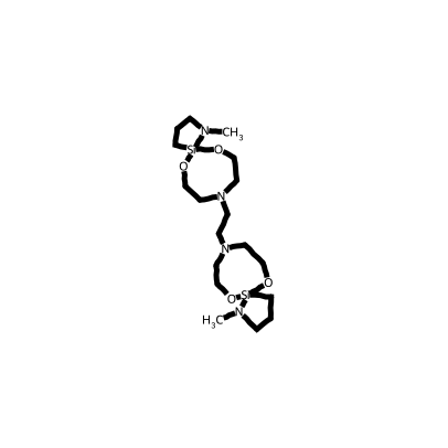 CN1CCC[Si]12OCCN(CCN1CCO[Si]3(CCCN3C)OCC1)CCO2